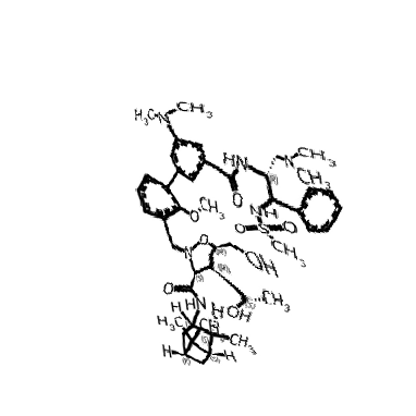 COc1c(CN2O[C@@H](CO)[C@@H]([C@H](C)O)[C@H]2C(=O)N[C@H]2C[C@H]3C[C@@H]([C@@H]2C)C3(C)C)cccc1-c1cc(C(=O)N[C@H](CN(C)C)C(NS(C)(=O)=O)c2ccccc2)cc(N(C)C)c1